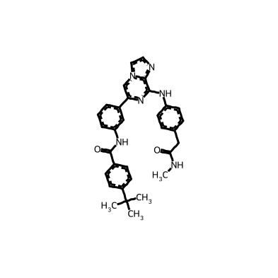 CNC(=O)Cc1ccc(Nc2nc(-c3cccc(NC(=O)c4ccc(C(C)(C)C)cc4)c3)cn3ccnc23)cc1